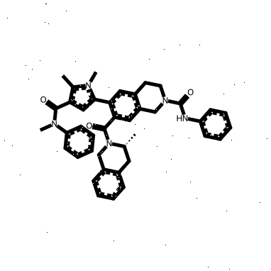 Cc1c(C(=O)N(C)c2ccccc2)cc(-c2cc3c(cc2C(=O)N2Cc4ccccc4C[C@H]2C)CN(C(=O)Nc2ccccc2)CC3)n1C